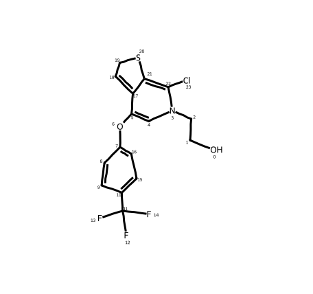 OCCN1C=C(Oc2ccc(C(F)(F)F)cc2)C2=CCSC2=C1Cl